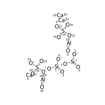 O=[Si]([O-])[O-].O=[Si]([O-])[O-].[Ca+2].[Ca+2].[Ca+2].[O]=[Al][O]S(=O)(=O)[O-].[O]=[Al][O]S(=O)(=O)[O-]